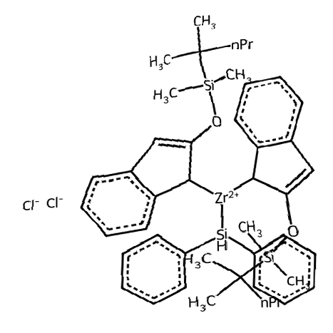 CCCC(C)(C)[Si](C)(C)OC1=Cc2ccccc2[CH]1[Zr+2]([CH]1C(O[Si](C)(C)C(C)(C)CCC)=Cc2ccccc21)[SiH](c1ccccc1)c1ccccc1.[Cl-].[Cl-]